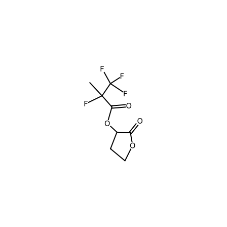 CC(F)(C(=O)OC1CCOC1=O)C(F)(F)F